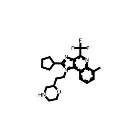 Cc1cccc2c1nc(C(F)(F)F)c1nc(C3CCCC3)n(CCC3CNCCO3)c12